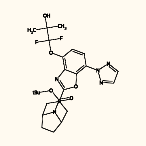 CC(C)(C)OC(=O)N1C2CCC1CN(c1nc3c(OC(F)(F)C(C)(C)O)ccc(-n4nccn4)c3o1)C2